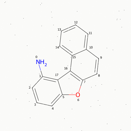 Nc1cccc2oc3ccc4ccccc4c3c12